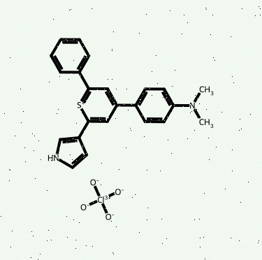 CN(C)c1ccc(-c2cc(-c3ccccc3)[s+]c(-c3cc[nH]c3)c2)cc1.[O-][Cl+3]([O-])([O-])[O-]